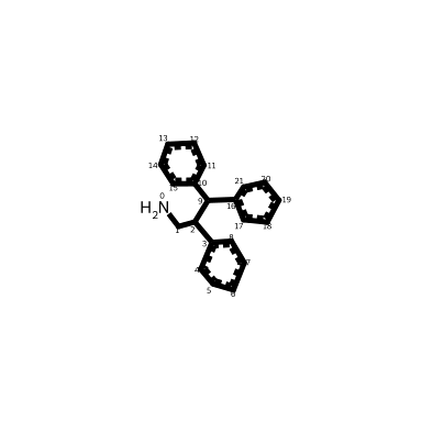 NCC(c1ccccc1)C(c1ccccc1)c1ccccc1